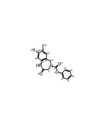 O=C1CN(C(=O)Oc2ccccc2)Cc2cc(F)c(F)cc2N1